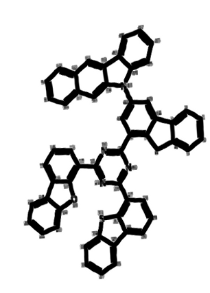 c1ccc2c(c1)Cc1c(-c3nc(-c4cccc5c4oc4ccccc45)nc(-c4cccc5c4sc4ccccc45)n3)cc(-n3c4ccccc4c4cc5ccccc5cc43)cc1-2